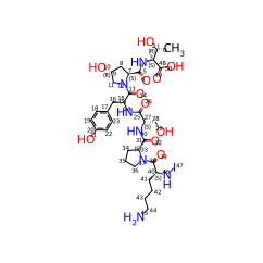 C[C@@H](O)[C@H](NC(=O)[C@@H]1C[C@@H](O)CN1C(=O)[C@H](Cc1ccc(O)cc1)NC(=O)[C@H](CO)NC(=O)[C@@H]1CCCN1C(=O)[C@H](CCCCN)NI)C(=O)O